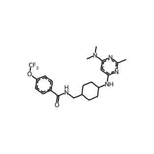 Cc1nc(NC2CCC(CNC(=O)c3ccc(OC(F)(F)F)cc3)CC2)cc(N(C)C)n1